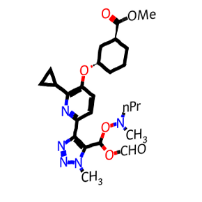 CCCN(C)OC(OC=O)c1c(-c2ccc(O[C@H]3CCC[C@H](C(=O)OC)C3)c(C3CC3)n2)nnn1C